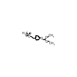 CCOC(COc1ccc(CCOS(C)(=O)=O)cc1)OCC